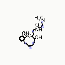 C/N=C/C=C\C(=O)N/C=C\CC1OC(=O)c2c(O)cccc2/C=C/C=C\C=C/C1O